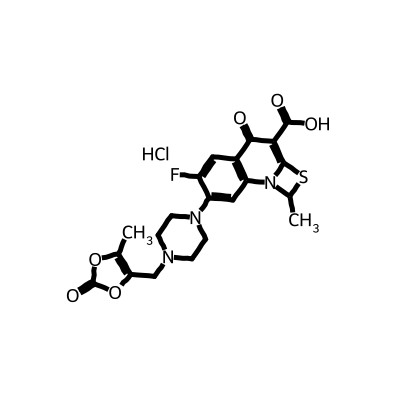 Cc1oc(=O)oc1CN1CCN(c2cc3c(cc2F)c(=O)c(C(=O)O)c2n3C(C)S2)CC1.Cl